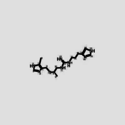 Cc1[nH]cnc1CS[C@H](C)CNC(=N)NCCCc1c[nH]cn1